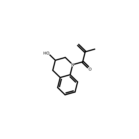 C=C(C)C(=O)N1CC(O)Cc2ccccc21